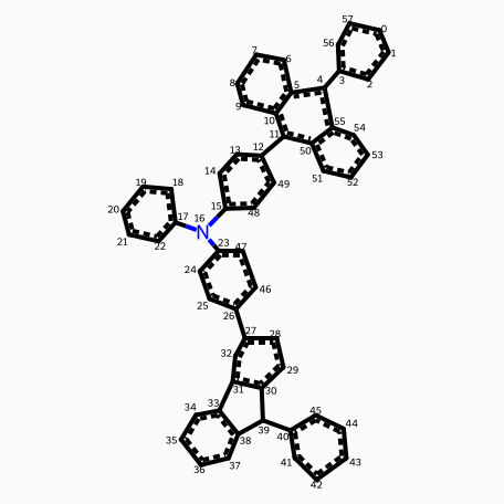 c1ccc(-c2c3ccccc3c(-c3ccc(N(c4ccccc4)c4ccc(-c5ccc6c(c5)-c5ccccc5C6c5ccccc5)cc4)cc3)c3ccccc23)cc1